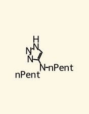 CCCCCN(CCCCC)c1c[nH]nn1